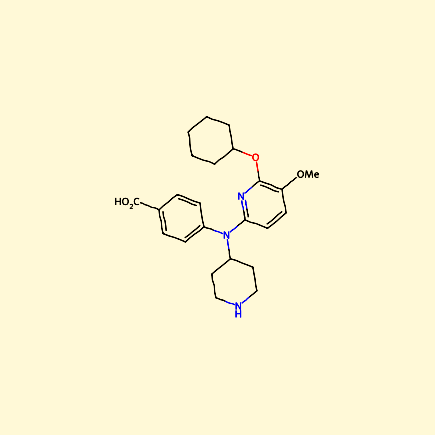 COc1ccc(N(c2ccc(C(=O)O)cc2)C2CCNCC2)nc1OC1CCCCC1